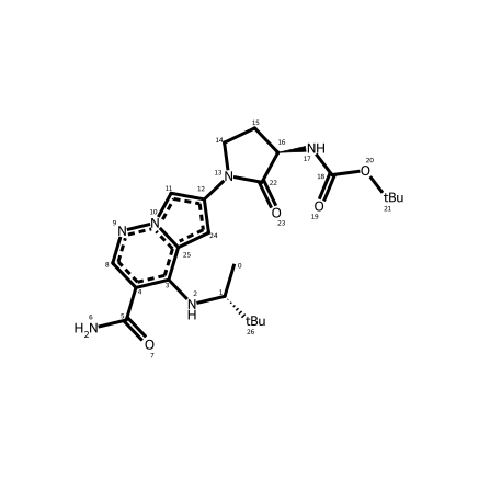 C[C@@H](Nc1c(C(N)=O)cnn2cc(N3CC[C@@H](NC(=O)OC(C)(C)C)C3=O)cc12)C(C)(C)C